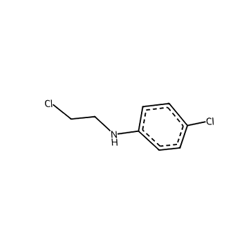 ClCCNc1ccc(Cl)cc1